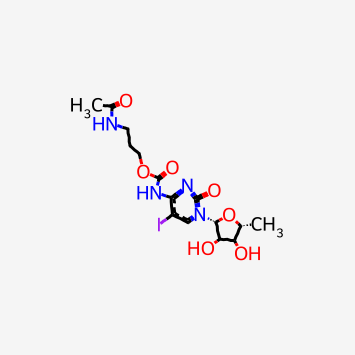 CC(=O)NCCCOC(=O)Nc1nc(=O)n([C@@H]2O[C@H](C)C(O)C2O)cc1I